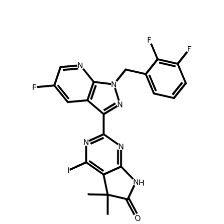 CC1(C)C(=O)Nc2nc(-c3nn(Cc4cccc(F)c4F)c4ncc(F)cc34)nc(I)c21